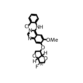 COc1cc2c(Nc3ccccc3Cl)ncnc2cc1OC1CO[C@H]2[C@H](F)CO[C@@H]12